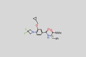 CNC(=O)[C@H](CC(C)C)NC(=O)c1ccc(N2CC(F)(F)C2)c(OCC2CC2)c1